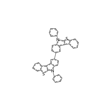 c1ccc(-n2c3ccc(-c4ccc5c(c4)c4c6ccccc6sc4n5-c4ccccc4)cc3c3c4ccccc4sc32)cc1